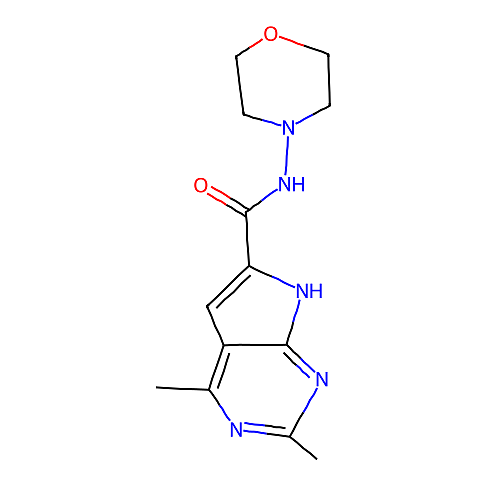 Cc1nc(C)c2cc(C(=O)NN3CCOCC3)[nH]c2n1